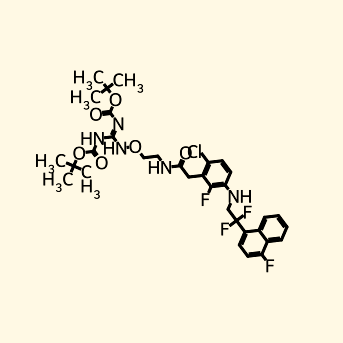 CC(C)(C)OC(=O)N=C(NOCCNC(=O)Cc1c(Cl)ccc(NCC(F)(F)c2ccc(F)c3ccccc23)c1F)NC(=O)OC(C)(C)C